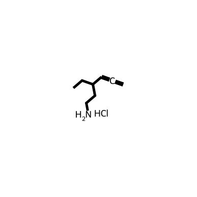 C=C=CC(CC)CCN.Cl